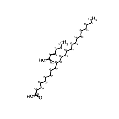 CCCC=CC(=O)O.CCCCCCCCCCCCCCCCCCCCCCCC(=O)O